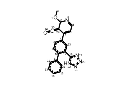 COC1N=CC=C(c2ccc(-c3ccccc3)c(-c3nnn[nH]3)c2)C1=C=O